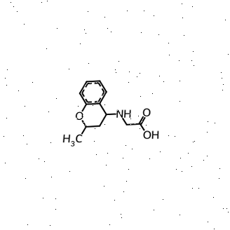 CC1CC(NCC(=O)O)c2ccccc2O1